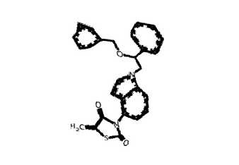 C=C1SC(=O)N(c2cccc3c2ccn3CC(OCc2ccccc2)c2ccccc2)C1=O